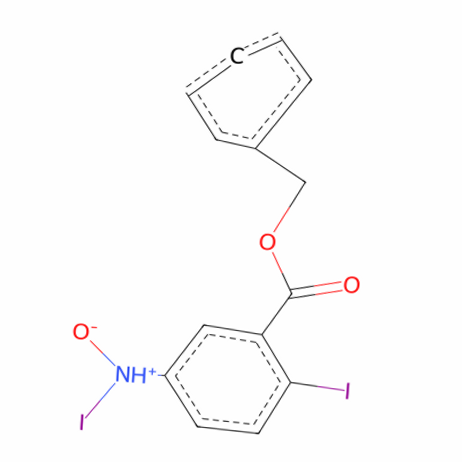 O=C(OCc1ccccc1)c1cc([NH+]([O-])I)ccc1I